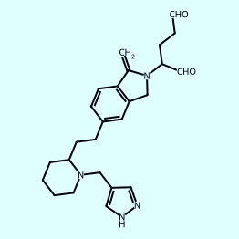 C=C1c2ccc(CCC3CCCCN3Cc3cn[nH]c3)cc2CN1C(C=O)CCC=O